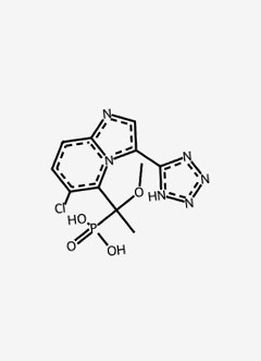 COC(C)(c1c(Cl)ccc2ncc(-c3nnn[nH]3)n12)P(=O)(O)O